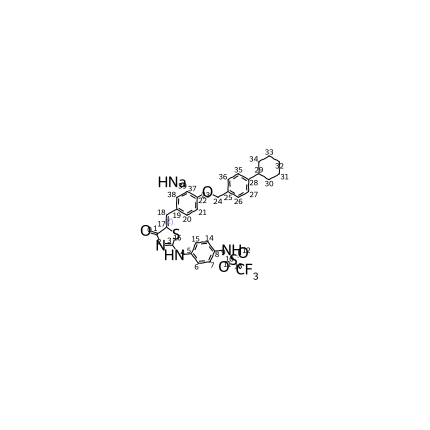 O=C1N=C(Nc2ccc(NS(=O)(=O)C(F)(F)F)cc2)S/C1=C\c1ccc(OCc2ccc(C3CCCCC3)cc2)cc1.[NaH]